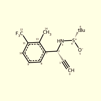 C#C[C@@H](N[S@@+]([O-])C(C)(C)C)c1cccc(C(F)(F)F)c1C